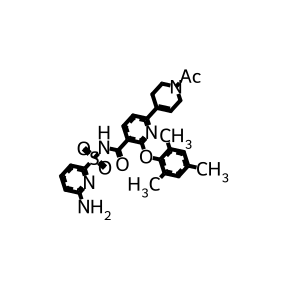 CC(=O)N1CC=C(c2ccc(C(=O)NS(=O)(=O)c3cccc(N)n3)c(Oc3c(C)cc(C)cc3C)n2)CC1